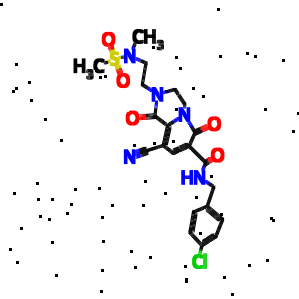 CN(CCN1CCn2c(c(C#N)cc(C(=O)NCc3ccc(Cl)cc3)c2=O)C1=O)S(C)(=O)=O